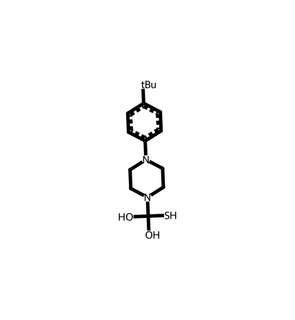 CC(C)(C)c1ccc(N2CCN(C(O)(O)S)CC2)cc1